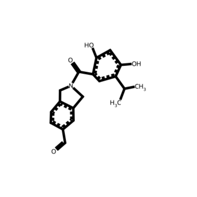 CC(C)c1cc(C(=O)N2Cc3ccc(C=O)cc3C2)c(O)cc1O